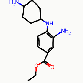 CCOC(=O)c1ccc(NC2CCC(N)CC2)c(N)c1